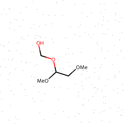 COCC(OC)OCO